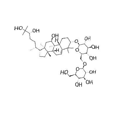 C[C@H](CC[C@@H](O)C(C)(C)O)[C@H]1CC[C@@]2(C)[C@H]3CC=C4[C@@H](CC[C@H](O[C@@H]5O[C@H](CO[C@@H]6O[C@H](CO)[C@@H](O)[C@H](O)[C@H]6O)[C@@H](O)[C@H](O)[C@H]5O)C4(C)C)[C@]3(C)[C@H](O)C[C@]12C